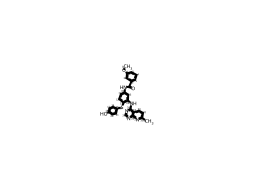 COc1cccc(C(=O)Nc2ccc(Sc3ccc(O)cc3)c(Nc3ncnc4nc(C)ccc34)c2)c1